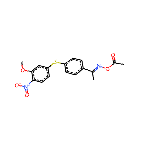 COc1cc(Sc2ccc(/C(C)=N/OC(C)=O)cc2)ccc1[N+](=O)[O-]